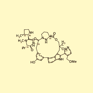 COCc1ccncc1-c1[nH]c2ccc3cc2c1CC(C)(C)COC(=O)[C@@H]1CCCN(N1)C(=O)[C@@H](NC(=O)[C@H](C(C)C)N(C)C(=O)[C@@H]1NCC[C@@H]1C)Cc1cc(O)cc-3c1